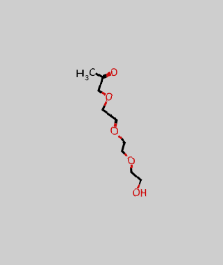 CC(=O)COCCOCCOCCO